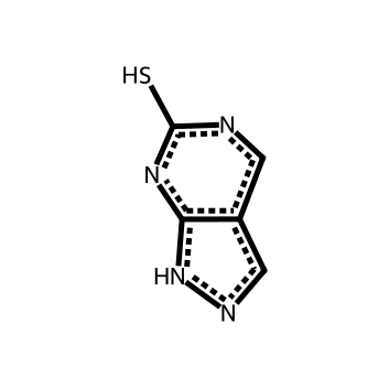 Sc1ncc2cn[nH]c2n1